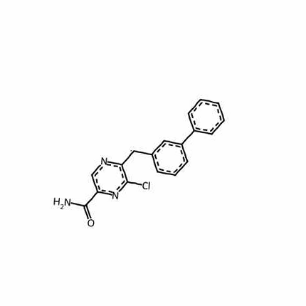 NC(=O)c1cnc([CH]c2cccc(-c3ccccc3)c2)c(Cl)n1